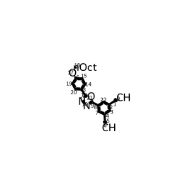 C#Cc1cc(C#C)cc(-c2nnc(-c3ccc(OCCCCCCCC)cc3)o2)c1